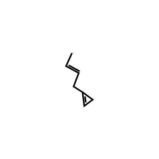 [CH2]C=CCC1=CC1